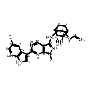 Cn1nc(N[C@H]2C3CCC(CC3)[C@@H]2OC=O)c2cnc(-c3c[nH]c4ncc(F)cc34)nc21